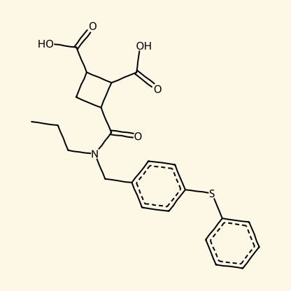 CCCN(Cc1ccc(Sc2ccccc2)cc1)C(=O)C1CC(C(=O)O)C1C(=O)O